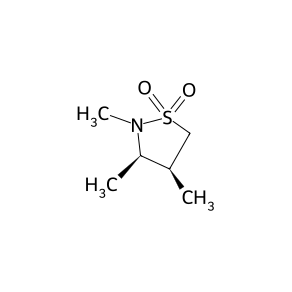 C[C@@H]1CS(=O)(=O)N(C)[C@@H]1C